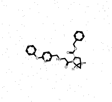 C[C@@]12C[C@@H]1N(C(=O)CNCc1ccc(Oc3ccccc3)nc1)[C@H](C(=O)OCc1ccccc1)C2